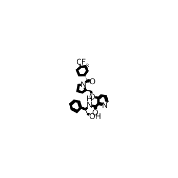 O=C(N[C@H](CO)c1ccccc1)c1ncccc1OC[C@H]1CCCN1C(=O)[C@H]1CC[C@H](C(F)(F)F)CC1